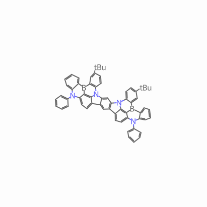 CC(C)(C)c1ccc2c(c1)B1c3ccccc3N(c3ccccc3)c3ccc4c5cc6c7ccc8c9c7n(c6cc5n-2c4c31)-c1ccc(C(C)(C)C)cc1B9c1ccccc1N8c1ccccc1